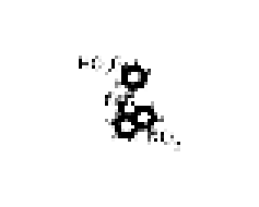 O=C(O)c1cccc(N2C(=O)c3cccc4c([N+](=O)[O-])ccc2c34)c1